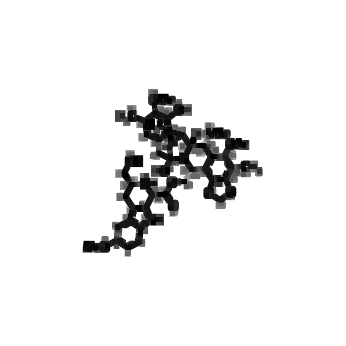 COc1ccc2[nH]c3c(c2c1)C[C@@H](CO)N[C@H]3C(=O)OC[C@H]1c2c3c(c(C)c(OC(C)=O)c2[C@@H](SC)[C@H]2C4c5c(cc(C)c(OC)c5O)CC(O)(CN4C)N21)OCO3